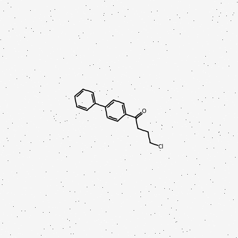 O=C(CCCCl)c1ccc(-c2ccccc2)cc1